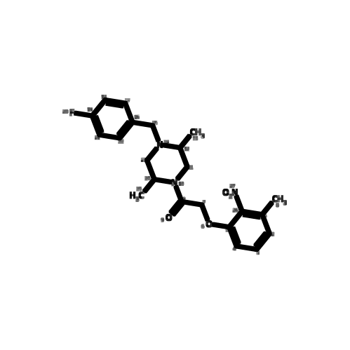 Cc1cccc(OCC(=O)N2CC(C)N(Cc3ccc(F)cc3)CC2C)c1[N+](=O)[O-]